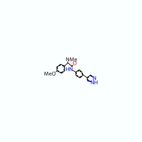 CNC(C(=O)Nc1ccc(-c2cn[nH]c2)cc1)c1ccc(OC)cc1